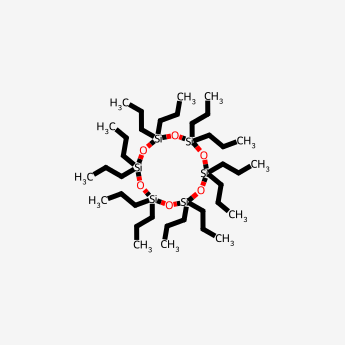 CCC[Si]1(CCC)O[Si](CCC)(CCC)O[Si](CCC)(CCC)O[Si](CCC)(CCC)O[Si](CCC)(CCC)O[Si](CCC)(CCC)O1